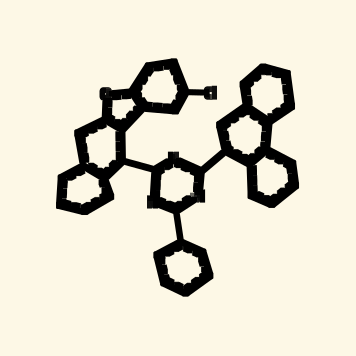 Clc1ccc2oc3cc4ccccc4c(-c4nc(-c5ccccc5)nc(-c5cc6ccccc6c6ccccc56)n4)c3c2c1